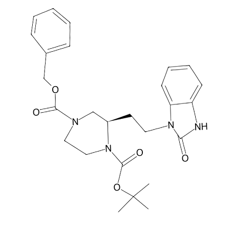 CC(C)(C)OC(=O)N1CCN(C(=O)OCc2ccccc2)C[C@H]1CCn1c(=O)[nH]c2ccccc21